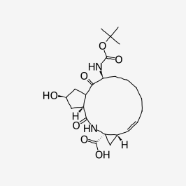 CC(C)(C)OC(=O)N[C@H]1CCCCC/C=C\[C@@H]2C[C@@]2(C(=O)O)NC(=O)[C@@H]2C[C@@H](O)CC2C1=O